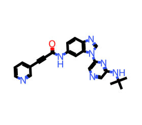 CC(C)(C)Nc1cncc(-n2cnc3ccc(NC(=O)C#Cc4cccnc4)cc32)n1